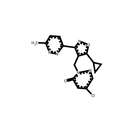 Cc1ccc(-c2noc(C3CC3)c2Cn2ncc(Cl)cc2=O)nn1